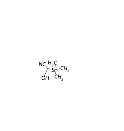 C[Si](C)(C)C(O)C#N